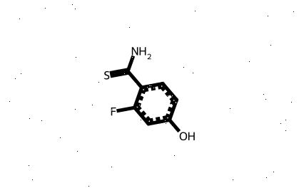 NC(=S)c1ccc(O)cc1F